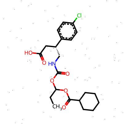 CCC(OC(=O)NC[C@H](CC(=O)O)c1ccc(Cl)cc1)OC(=O)C1CCCCC1